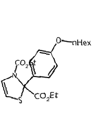 CCCCCCOc1ccc(C2(C(=O)OCC)SC=CN2C(=O)OCC)cc1